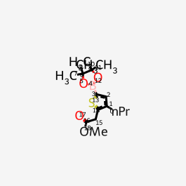 CCCc1cc(B2OC(C)(C)C(C)(C)O2)sc1CC(=O)OC